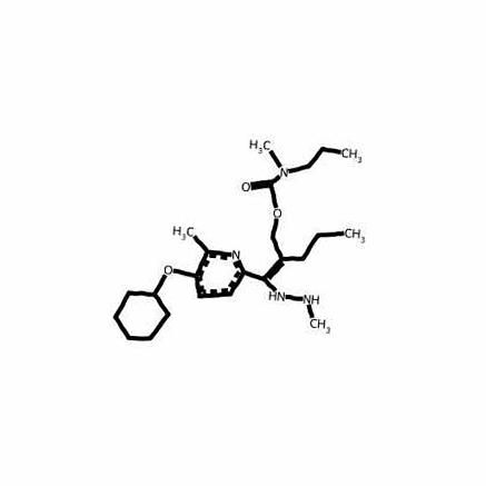 CCC/C(COC(=O)N(C)CCC)=C(\NNC)c1ccc(OC2CCCCC2)c(C)n1